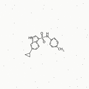 Cc1ccc(NS(=O)(=O)c2c[nH]c3cc(C4CC4)ccc23)cc1